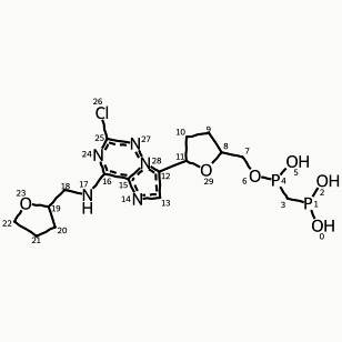 OP(O)CP(O)OCC1CCC(c2cnc3c(NCC4CCCO4)nc(Cl)nn23)O1